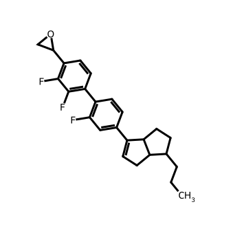 CCCC1CCC2C(c3ccc(-c4ccc(C5CO5)c(F)c4F)c(F)c3)=CCC12